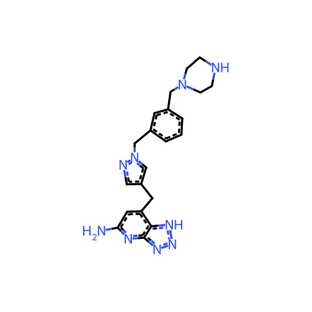 Nc1cc(Cc2cnn(Cc3cccc(CN4CCNCC4)c3)c2)c2[nH]nnc2n1